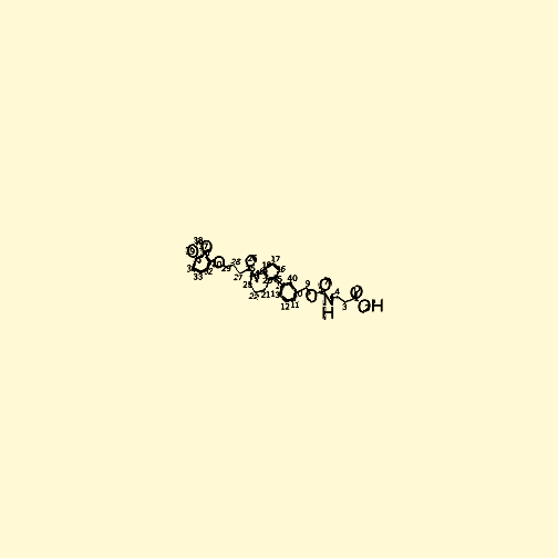 O=C(O)CCNC(=O)OCc1cccc(-c2cccc3c2CCCN3C(=O)CCCOc2cccc3c2OCO3)c1